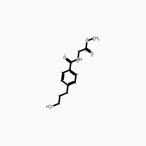 CCCCc1ccc(C(=O)NCC(=O)OC)cc1